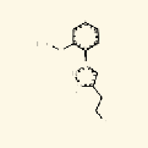 CSc1ccccc1-n1cc(CCBr)nn1